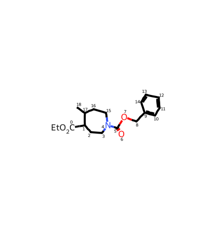 CCOC(=O)C1CCN(C(=O)OCc2ccccc2)CCC1C